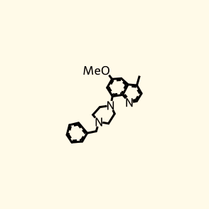 COc1cc(N2CCN(Cc3ccccc3)CC2)c2nccc(C)c2c1